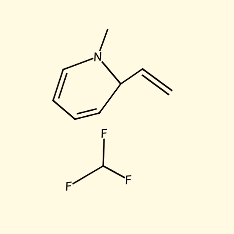 C=CC1C=CC=CN1C.FC(F)F